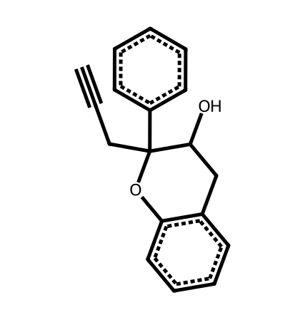 C#CCC1(c2ccccc2)Oc2ccccc2CC1O